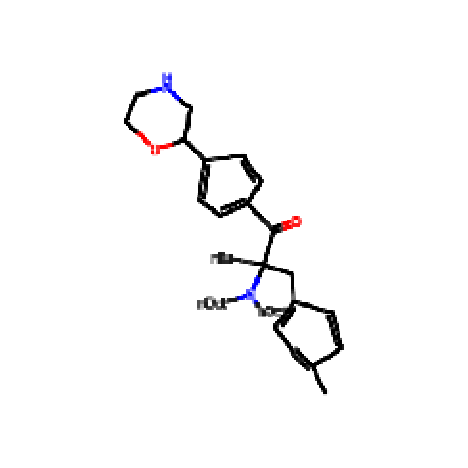 CCCCCCCCN(CCCCCCCC)C(CCCC)(Cc1ccc(C)cc1)C(=O)c1ccc(C2CNCCO2)cc1